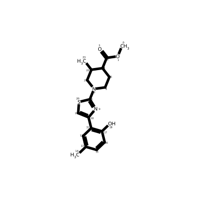 COC(=O)C1CCN(c2nc(-c3cc(C)ccc3O)cs2)CC1C